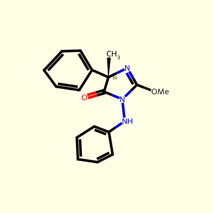 COC1=N[C@@](C)(c2ccccc2)C(=O)N1Nc1ccccc1